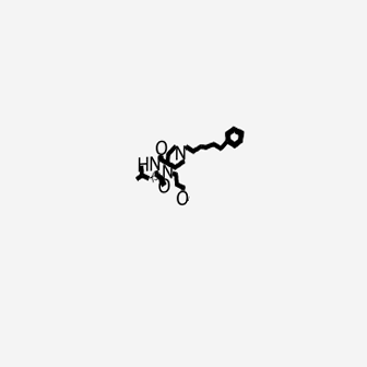 COCCCN1C(=O)[C@H](CC(C)C)NC(=O)C12CCN(CCCCCCc1ccccc1)CC2